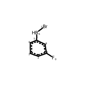 Fc1cccc(BBr)c1